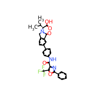 CC(C)[C@@H](C(=O)O)N1Cc2ccc(-c3ccc(NC(=O)c4nc(-c5ccccc5)oc4C(F)(F)F)cc3)cc2C1=O